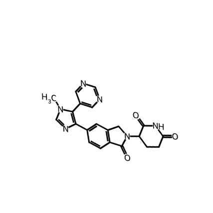 Cn1cnc(-c2ccc3c(c2)CN(C2CCC(=O)NC2=O)C3=O)c1-c1cncnc1